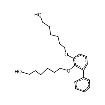 OCCCCCCOc1cccc(-c2ccccc2)c1OCCCCCCO